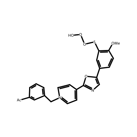 COc1ccc(-c2cnc(-c3cc[n+](Cc4cccc(C(C)=O)c4)cc3)o2)cc1SOOO